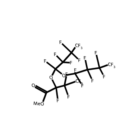 COC(=O)C(F)(OC(F)(OC(F)(F)C(F)(F)C(F)(F)C(F)(F)F)C(F)(F)C(F)(F)C(F)(F)F)C(F)(F)C(F)(F)F